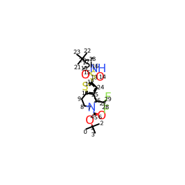 CC(C)(C)OC(=O)N1CCc2sc(S(=O)(=O)N[Si](C)(C)C(C)(C)C)cc2C1C(F)F